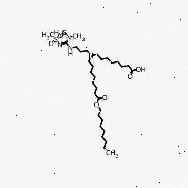 CCCCCCCCCOC(=O)CCCCCCCN(CCCCCCCC(=O)O)CCCN/C(=N/S(C)(=O)=O)N(C)C